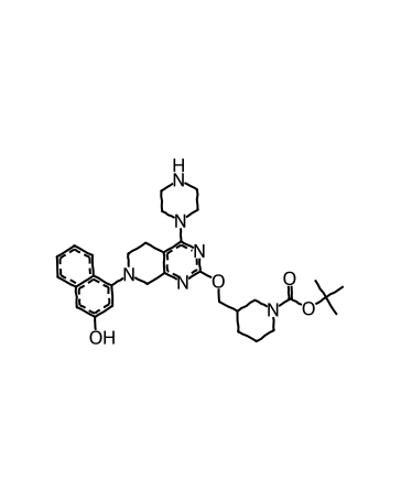 CC(C)(C)OC(=O)N1CCCC(COc2nc3c(c(N4CCNCC4)n2)CCN(c2cc(O)cc4ccccc24)C3)C1